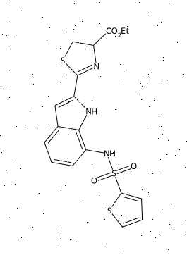 CCOC(=O)C1CSC(c2cc3cccc(NS(=O)(=O)c4cccs4)c3[nH]2)=N1